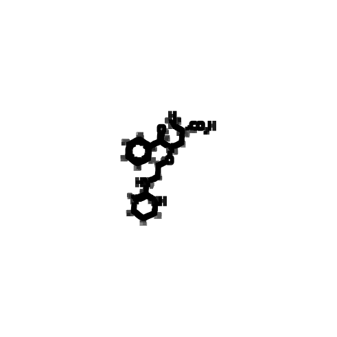 N[C@@H](CN(OCCNC1=NCCCN1)C(=O)c1ccccc1)C(=O)O